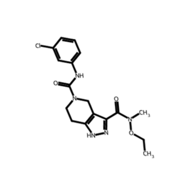 CCON(C)C(=O)c1n[nH]c2c1CN(C(=O)Nc1cccc(Cl)c1)CC2